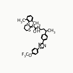 Cc1cccc(C)c1N1CCCS/C1=N\C(=O)NCCC(C)c1ccc(-c2ncn(-c3ccc(OC(F)(F)F)cc3)n2)cc1